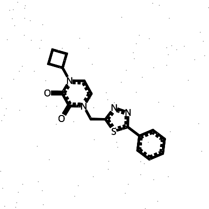 O=c1c(=O)n(C2CCC2)ccn1Cc1nnc(-c2ccccc2)s1